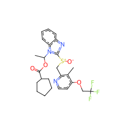 Cc1c(OCC(F)(F)F)ccnc1C[S+]([O-])c1nc2ccccc2n1C(C)OC(=O)C1CCCCC1